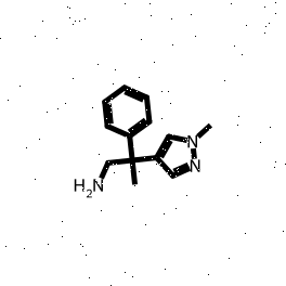 Cn1cc(C(C)(CN)c2ccccc2)cn1